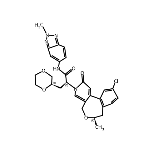 C[C@@H]1Cc2ccc(Cl)cc2-c2cc(=O)n([C@@H](C[C@@H]3COCCO3)C(=O)Nc3ccc4nn(C)nc4c3)cc2CO1